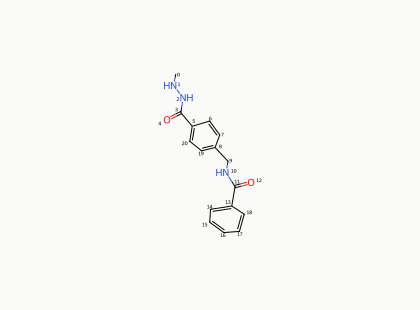 CNNC(=O)c1ccc(CNC(=O)c2ccccc2)cc1